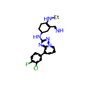 CCNC1=C(C=N)CC(Nc2nc3c(-c4ccc(F)c(Cl)c4)cccn3n2)CC1